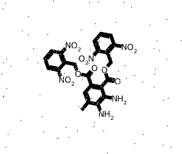 Cc1cc(C(=O)OCc2c([N+](=O)[O-])cccc2[N+](=O)[O-])c(C(=O)OCc2c([N+](=O)[O-])cccc2[N+](=O)[O-])c(N)c1N